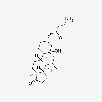 C[C@@H]1C[C@@]2(O)C[C@@H](OC(=O)CCN)CC[C@]2(C)[C@H]2CC[C@]3(C)C(=O)CC[C@H]3[C@H]12